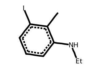 CCNc1cccc(I)c1C